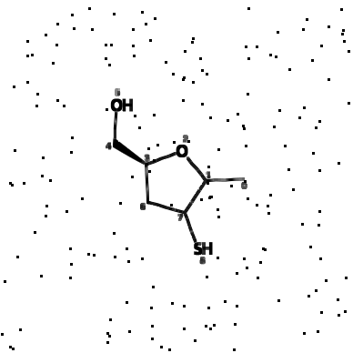 CC1O[C@H](CO)CC1S